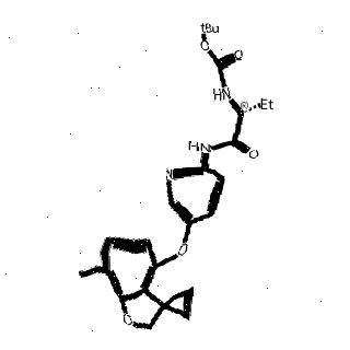 CC[C@@H](NC(=O)OC(C)(C)C)C(=O)Nc1ccc(Oc2ccc(C)c3c2C2(CC2)CO3)cn1